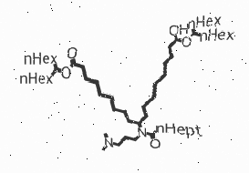 CCCCCCCC(=O)N(CCCN(C)C)C(CCCCCCCCC(=O)OC(CCCCCC)CCCCCC)CCCCCCCCC(O)OC(CCCCCC)CCCCCC